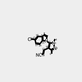 Cc1nn(C)c(-n2ccc3cc(Cl)ccc32)c1C=CC#N